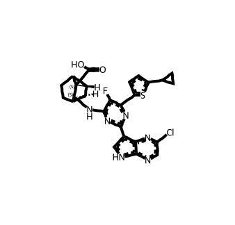 O=C(O)[C@H]1C2CCC(CC2)[C@@H]1Nc1nc(-c2c[nH]c3ncc(Cl)nc23)nc(-c2ccc(C3CC3)s2)c1F